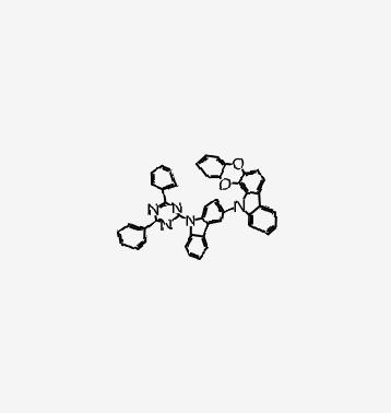 c1ccc(-c2nc(-c3ccccc3)nc(-n3c4ccccc4c4cc(-n5c6ccccc6c6ccc7c(c65)Oc5ccccc5O7)ccc43)n2)cc1